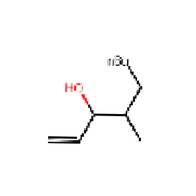 C=CC(O)C(C)CCCCC